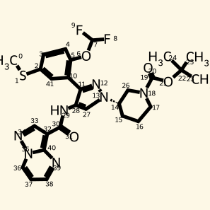 CSc1ccc(OC(F)F)c(-c2nn([C@H]3CCCN(C(=O)OC(C)(C)C)C3)cc2NC(=O)c2cnn3cccnc23)c1